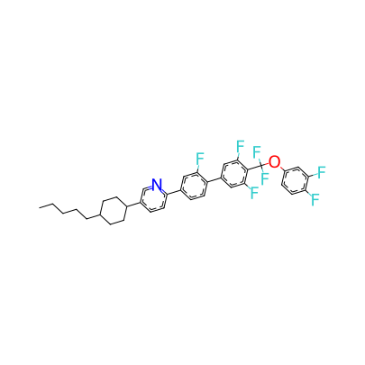 CCCCCC1CCC(c2ccc(-c3ccc(-c4cc(F)c(C(F)(F)Oc5ccc(F)c(F)c5)c(F)c4)c(F)c3)nc2)CC1